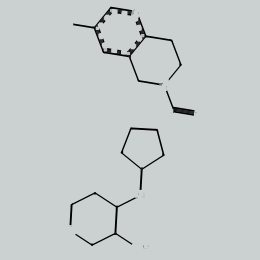 COC1COCCC1NC1CC[C@H](C(=O)N2CCc3ncc(C(F)(F)F)cc3C2)C1